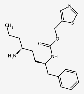 CCC[C@H](N)CC[C@H](Cc1ccccc1)NC(=O)OCc1cncs1